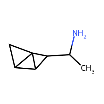 CC(N)C1C2C3CC312